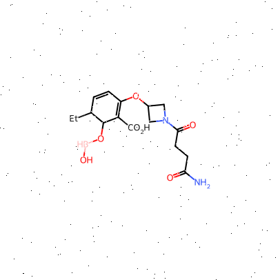 CCC1C=CC(OC2CN(C(=O)CCC(N)=O)C2)=C(C(=O)O)C1OBO